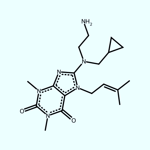 CC(C)=CCn1c(N(CCN)CC2CC2)nc2c1c(=O)n(C)c(=O)n2C